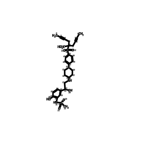 CC#CCC(CC#CC)(C(=O)O)S(=O)(=O)c1ccc(N2CCC(NC[C@@H](O)c3ccc(O)c(NS(C)(=O)=O)c3)CC2)cc1